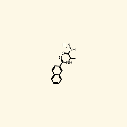 CC(NC(=O)c1ccc2ccccc2c1)C(=O)NN